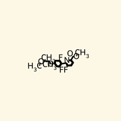 COC(=O)c1ccc(F)c(-c2c(F)cc(OCC(C)(C)OC)cc2F)n1